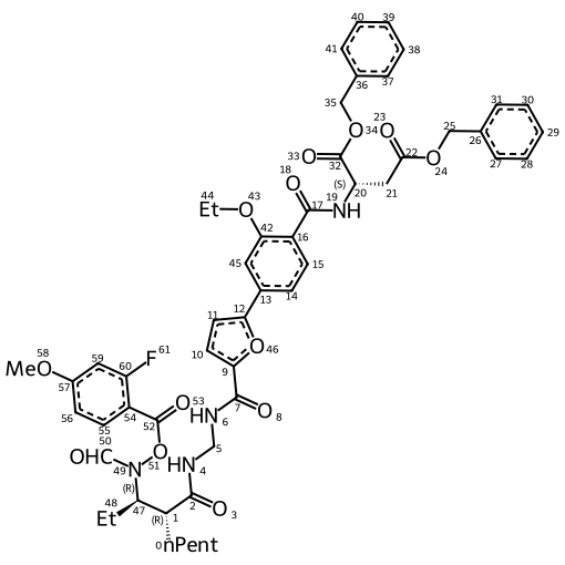 CCCCC[C@@H](C(=O)NCNC(=O)c1ccc(-c2ccc(C(=O)N[C@@H](CC(=O)OCc3ccccc3)C(=O)OCc3ccccc3)c(OCC)c2)o1)[C@@H](CC)N(C=O)OC(=O)c1ccc(OC)cc1F